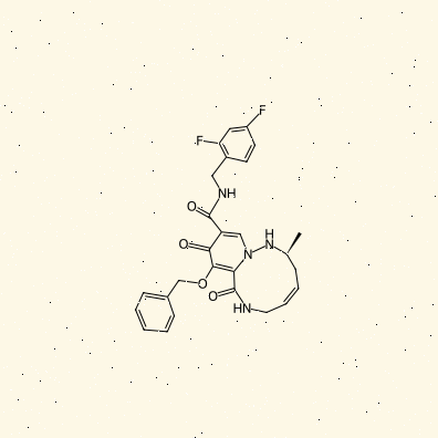 C[C@H]1C/C=C\CNC(=O)c2c(OCc3ccccc3)c(=O)c(C(=O)NCc3ccc(F)cc3F)cn2N1